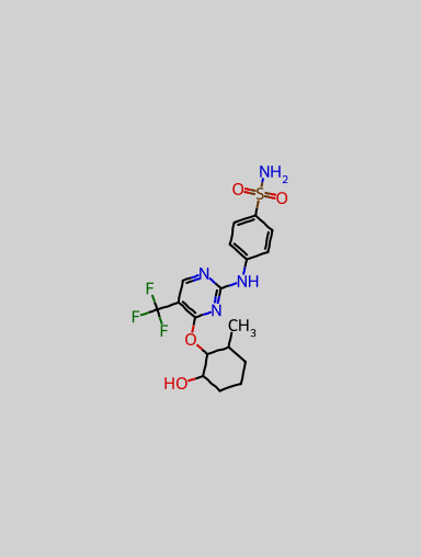 CC1CCCC(O)C1Oc1nc(Nc2ccc(S(N)(=O)=O)cc2)ncc1C(F)(F)F